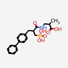 CC(CNC(=O)C(Cc1ccc(-c2ccccc2)cc1)CP(=O)(O)O)C(=O)O